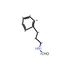 O=CNCCCc1[c]cccc1